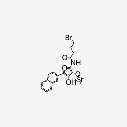 C[Si](C)(C)Oc1c(NC(=O)CCCBr)oc(-c2ccc3ccccc3c2)c1O